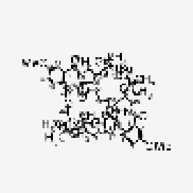 COc1ccc2c(c1)C(=O)N1CC(O[Si](C)(C)C(C)(C)C)CC1(OCCCO[C@]13C[C@@H](O[Si](C)(C)C(C)(C)C)CN1C(=O)c1cc(OC)ccc1N(COCC[Si](C)(C)C)C3=O)C(=O)N2COCC[Si](C)(C)C